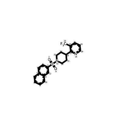 O=S(=O)(c1ccc2ccccc2c1)N1CCC(c2ncccc2C(F)(F)F)CC1